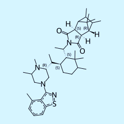 Cc1cccc2snc(N3CC(C)N(C)[C@H](C(C)[C@@H]4CCC(C)C(C)(C)[C@H]4C(C)N4C(=O)[C@@H]5[C@H]6C(C)C(C)C([C@@H]5C4=O)C6(C)C)C3)c12